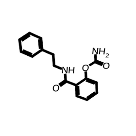 NC(=O)Oc1ccccc1C(=O)NCCc1ccccc1